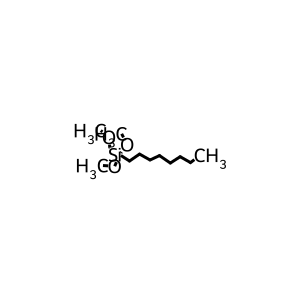 CCCCCCCC[Si](COC)(OC)OC